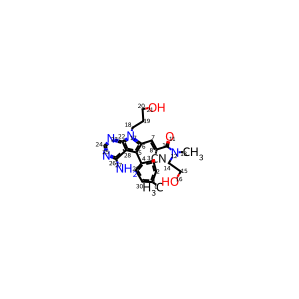 Cc1ccc(-c2c(C=C(C#N)C(=O)N(C)CCO)n(CCCO)c3ncnc(N)c23)cc1